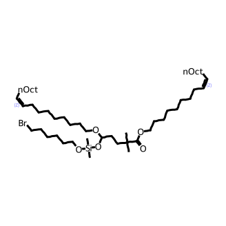 CCCCCCCC/C=C\CCCCCCCCOC(=O)C(C)(C)CCC(OCCCCCCCC/C=C\CCCCCCCC)O[Si](C)(C)OCCCCCCBr